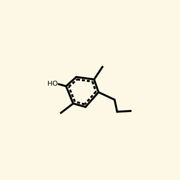 CCCc1cc(C)c(O)cc1C